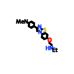 CCNCCOc1ccc2c(c1)sc1nc(-c3ccc(NC)cc3)cn12